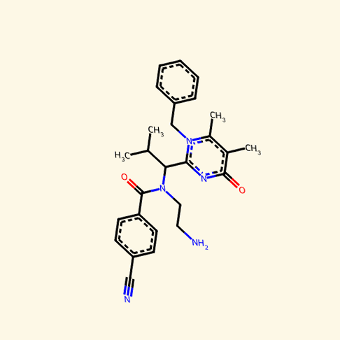 Cc1c(C)n(Cc2ccccc2)c(C(C(C)C)N(CCN)C(=O)c2ccc(C#N)cc2)nc1=O